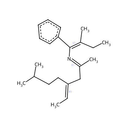 C/C=C(\CCC(C)C)C/C(C)=N/C(=C(/C)CC)c1ccccc1